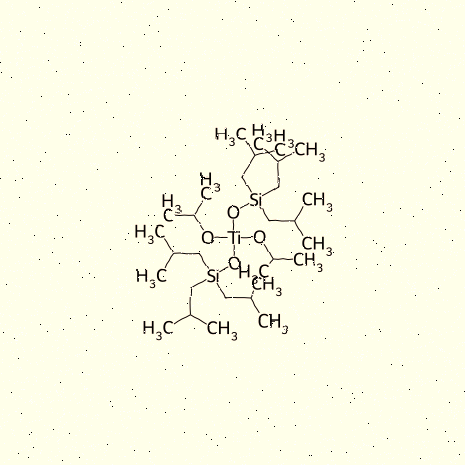 CC(C)C[Si](CC(C)C)(CC(C)C)[O][Ti]([O]C(C)C)([O]C(C)C)[O][Si](CC(C)C)(CC(C)C)CC(C)C